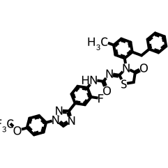 Cc1ccc(Cc2ccccc2)c(N2C(=O)CS/C2=N\C(=O)Nc2ccc(-c3ncn(-c4ccc(OC(F)(F)F)cc4)n3)cc2F)c1